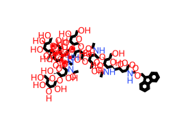 CC(=O)NC1C(O)[C@H](O[C@@H]2OC(CO)[C@H](O)[C@H](O)C2O)[C@H](CO)O[C@H]1OC1[C@@H](OCC2O[C@@H](O[C@@H]3C(CO)O[C@@H](O[C@@H]4C(CO)O[C@@H](CC(=O)CC(NC(=O)OCC5c6ccccc6-c6ccccc65)C(=O)O)[C@@H](NC(C)=O)C4O)[C@@H](NC(C)=O)C3O)[C@H](O)C(O[C@H]3OC(CO)[C@@H](O)C(O)C3O[C@@H]3OC(CO)[C@@H](O[C@@H]4OC(CO)[C@H](O)[C@H](O)C4O)[C@H](O)C3NC(C)=O)[C@@H]2O)OC(CO)[C@@H](O)[C@@H]1O